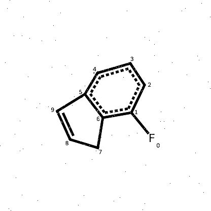 Fc1cc[c]c2c1CC=C2